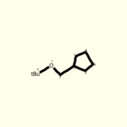 CC(C)(C)OC[C]1CCCC1